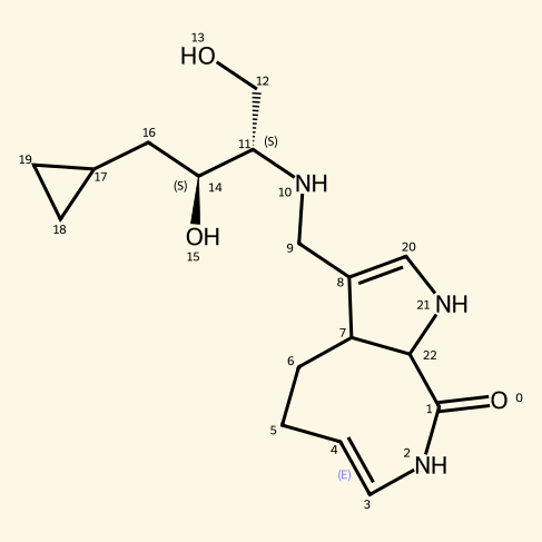 O=C1N/C=C/CCC2C(CN[C@@H](CO)[C@@H](O)CC3CC3)=CNC12